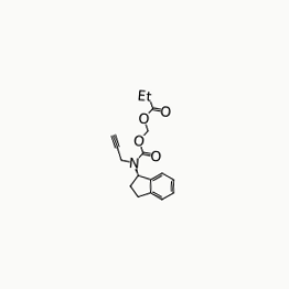 C#CCN(C(=O)OCOC(=O)CC)[C@@H]1CCc2ccccc21